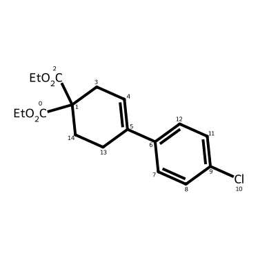 CCOC(=O)C1(C(=O)OCC)CC=C(c2ccc(Cl)cc2)CC1